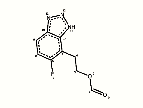 O=COCCc1c(F)ccc2nn[nH]c12